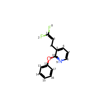 FC(F)=CCc1cccnc1Oc1ccccc1